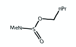 CCCCOS(=O)NC